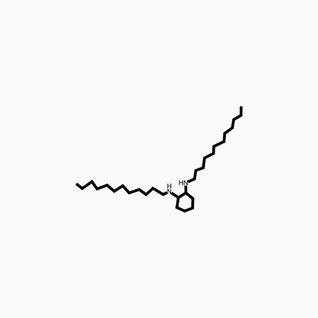 CCCCCCCCCCCCNC1CCCCC1NCCCCCCCCCCCC